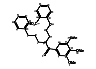 COc1cc(C(=O)N(CCCc2ccccc2)CCOc2ccccc2C(=O)O)cc(OC)c1OC